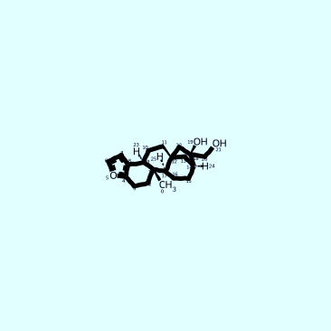 C[C@@]12CCc3occc3[C@H]1CC[C@@]13C[C@H](CC[C@H]12)[C@@](O)(CO)C3